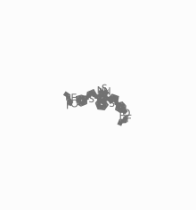 CCCC(F)(F)Oc1ccc(-c2ccc(-c3c4ccccc4c(-c4ccc(-c5ccc(OC(F)(F)CCC)cc5)s4)c4nsnc34)s2)cc1